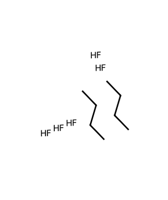 CCCC.CCCC.F.F.F.F.F